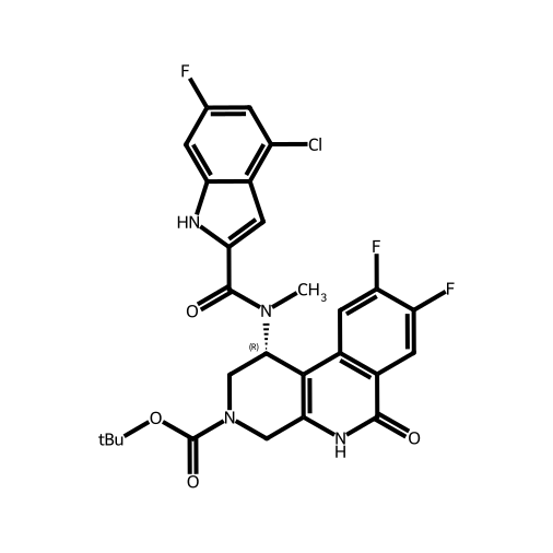 CN(C(=O)c1cc2c(Cl)cc(F)cc2[nH]1)[C@H]1CN(C(=O)OC(C)(C)C)Cc2[nH]c(=O)c3cc(F)c(F)cc3c21